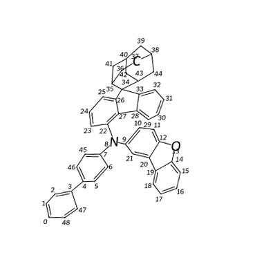 c1ccc(-c2ccc(N(c3ccc4oc5ccccc5c4c3)c3cccc4c3-c3ccccc3C43C4CCC5CC(C4)CC3C5)cc2)cc1